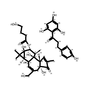 CCCCCCCCCCCCCC(=O)O[C@@H]1[C@@H](C)[C@@]2(O)[C@@H](C=C(CO)C[C@]3(O)C(=O)C(C)=C[C@@H]23)[C@H]2C(C)(C)[C@]12O.O=C(CCc1ccc(O)cc1)c1c(O)cc(O)cc1O